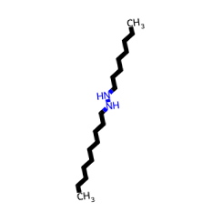 CCCCCCCCCCNNCCCCCCCC